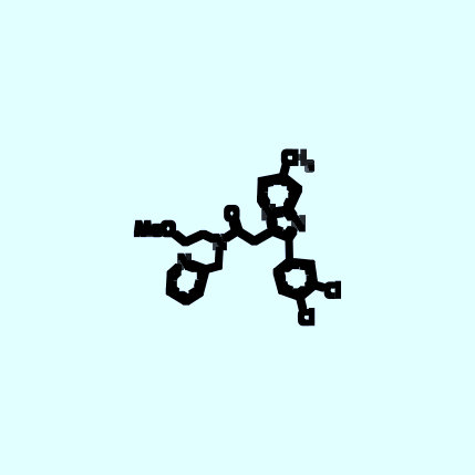 COCCN(Cc1ccccn1)C(=O)Cc1c(-c2ccc(Cl)c(Cl)c2)nc2cc(C)ccn12